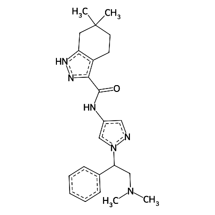 CN(C)CC(c1ccccc1)n1cc(NC(=O)c2n[nH]c3c2CCC(C)(C)C3)cn1